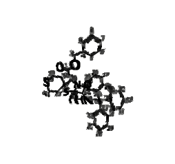 O=C(OCc1ccccc1)C1N2C(=O)C(NC(c3ccccc3)(c3ccccc3)c3ccccc3)[C@@H]2SC12CCSCC2